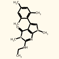 CCNc1nc2c(c(-c3c(C)cc(C)cc3C)cn2C)c(=O)n1C